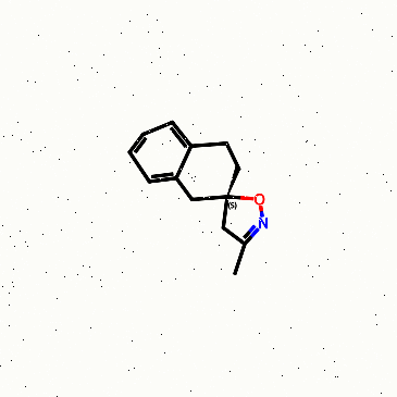 CC1=NO[C@]2(CCc3ccccc3C2)C1